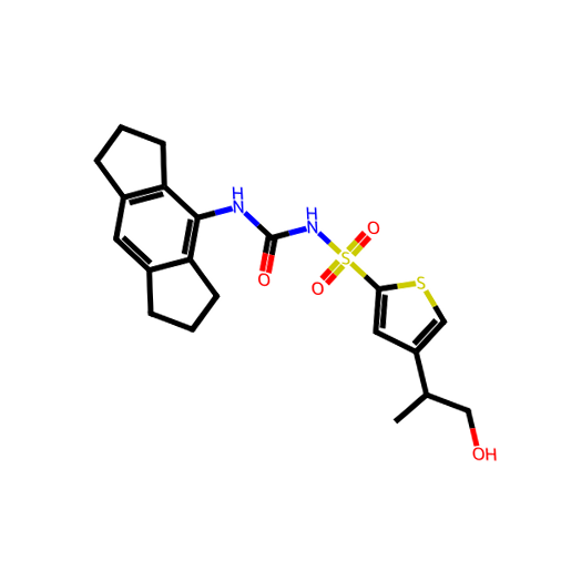 CC(CO)c1csc(S(=O)(=O)NC(=O)Nc2c3c(cc4c2CCC4)CCC3)c1